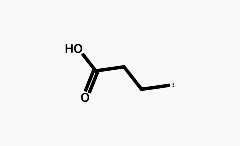 [CH]CCC(=O)O